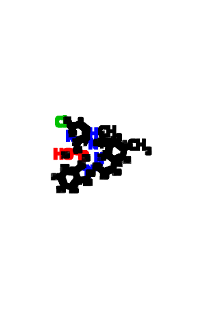 Cc1cc([C@H](C)Nc2ccc(Cl)nc2C(=O)O)c2nc(N3Cc4ccccc4C3)ccc2c1